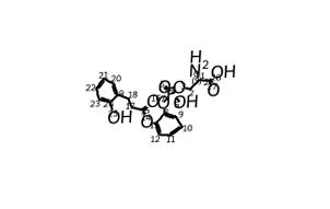 N[C@@H](COP(=O)(O)Oc1ccccc1OC(=O)CCc1ccccc1O)C(=O)O